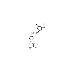 CC(C)[C@]1(C(=O)NCc2cc(C(F)(F)F)cc(C(F)(F)F)c2)CC[C@@H](N(C)C2CCOCC2C2CC2)C1